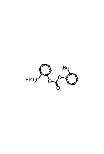 CCOC(=O)c1ccccc1OC(=O)Oc1ccccc1C(C)(C)C